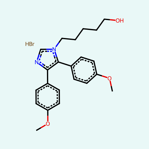 Br.COc1ccc(-c2ncn(CCCCCO)c2-c2ccc(OC)cc2)cc1